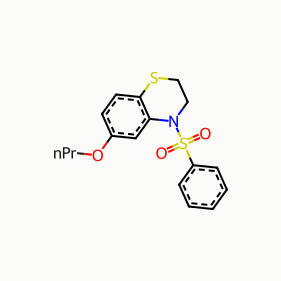 [CH2]CCOc1ccc2c(c1)N(S(=O)(=O)c1ccccc1)CCS2